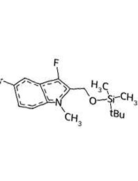 Cn1c(CO[Si](C)(C)C(C)(C)C)c(F)c2cc(Br)ccc21